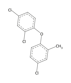 Cc1cc(Cl)ccc1Oc1ccc(Cl)cc1Cl